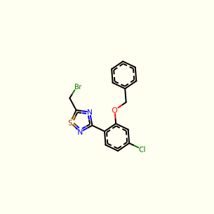 Clc1ccc(-c2nsc(CBr)n2)c(OCc2ccccc2)c1